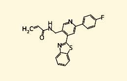 C=CC(=O)NCc1cnc(-c2ccc(F)cc2)cc1-c1nc2ccccc2s1